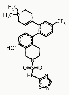 C[N+]1(C)CC=C(c2cc(C(F)(F)F)ccc2-c2cccc3c2CCN(S(=O)(=O)Nc2ncns2)C3)CC1.[OH-]